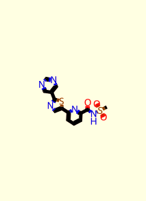 CS(=O)(=O)NC(=O)c1cccc(-c2cnc(-c3cncnc3)s2)n1